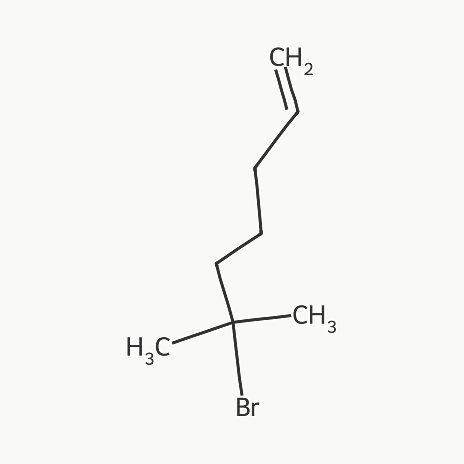 C=CCCCC(C)(C)Br